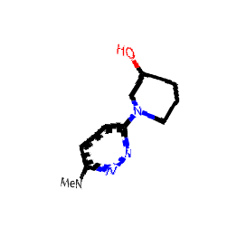 CNc1ccc(N2CCCC(O)C2)nn1